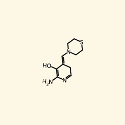 NC1=C(O)C(=CN2CCSCC2)CC=N1